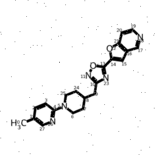 Cc1ccc(N2CCC(Cc3noc(-c4cc5cnccc5o4)n3)CC2)nc1